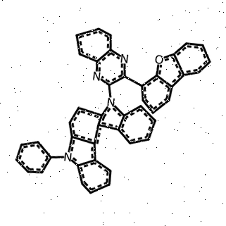 c1ccc(-n2c3ccccc3c3c4c5ccccc5n(-c5nc6ccccc6nc5-c5cccc6c5oc5ccccc56)c4ccc32)cc1